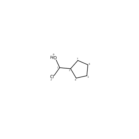 OC(Cl)C1CCCC1